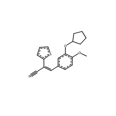 COc1ccc(C=C(C#N)c2cccs2)cc1OC1CCCC1